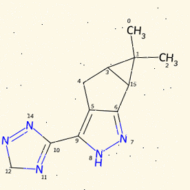 CC1(C)C2Cc3c(n[nH]c3C3=NCN=N3)C21